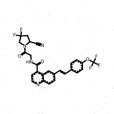 N#CC1CC(F)(F)CN1C(=O)CNC(=O)c1ccnc2ccc(C=Cc3ccc(OC(F)(F)F)cc3)cc12